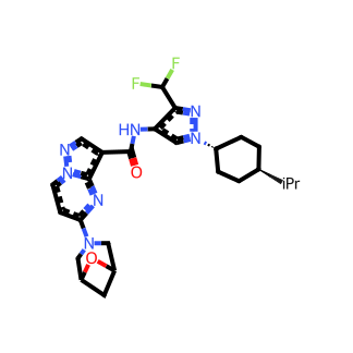 CC(C)[C@H]1CC[C@H](n2cc(NC(=O)c3cnn4ccc(N5CC6CC(C5)O6)nc34)c(C(F)F)n2)CC1